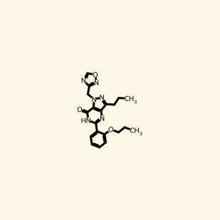 CCCOc1ccccc1-c1nc2c(CCC)nn(Cc3ncon3)c2c(=O)[nH]1